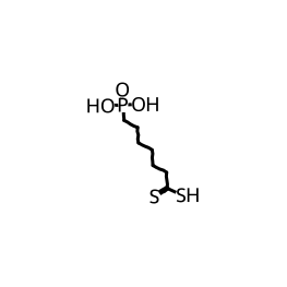 O=P(O)(O)CCCCCCC(=S)S